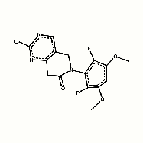 COc1cc(OC)c(F)c(N2Cc3cnc(Cl)nc3CC2=O)c1F